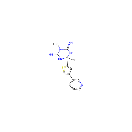 CCC1(c2cc(-c3cccnc3)cs2)NC(=N)N(C)C(=N)N1